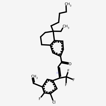 C=Cc1cc(/C(=C/C(=O)c2ccc3c(c2)CCCC3(CC)CCCCC)C(F)(F)F)cc(Cl)c1F